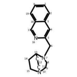 c1ccc2cc(CN3CCN4CCC3CC4)ncc2c1